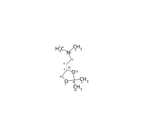 CN(C)CC[C@H]1COC(C)(C)O1